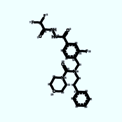 O=C(NNC(=O)C(F)F)c1ccc(CN(CCc2ccccc2)C(=O)N2CCOCC2)c(F)c1